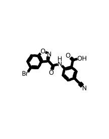 N#Cc1ccc(NC(=O)c2noc3ccc(Br)cc23)c(C(=O)O)c1